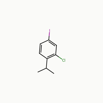 CC(C)c1ccc(I)cc1Cl